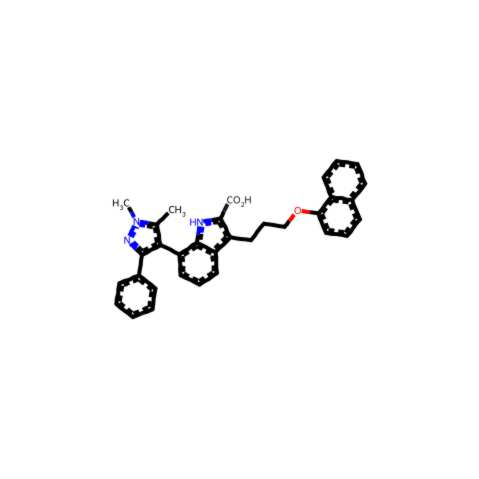 Cc1c(-c2cccc3c(CCCOc4cccc5ccccc45)c(C(=O)O)[nH]c23)c(-c2ccccc2)nn1C